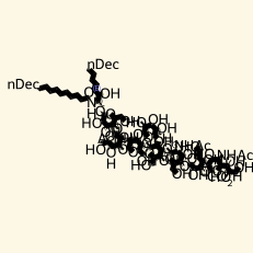 CCCCCCCCCCCCC/C=C/[C@@H](O)[C@H](CO[C@@H]1OC(CO)[C@@H](O[C@@H]2OC(CO)[C@H](O)[C@H](O[C@@H]3OC(CO)[C@@H](O[C@@H]4OC(CO)[C@H](O)[C@H](O[C@@H]5OC(CO)[C@@H](O[C@@H]6OC(CO)[C@H](O)[C@H](O[C@]7(C(=O)O)CC(O)[C@@H](NC(C)=O)C([C@H](O)[C@H](O)CO)O7)C6O)[C@H](O)C5NC(C)=O)C4O)[C@H](O[C@H]4OC(C)[C@@H](O)C(O)[C@@H]4O)C3NC(C)=O)C2O)[C@H](O)C1O)NC(=O)CCCCCCCCCCCCCCCCCCC